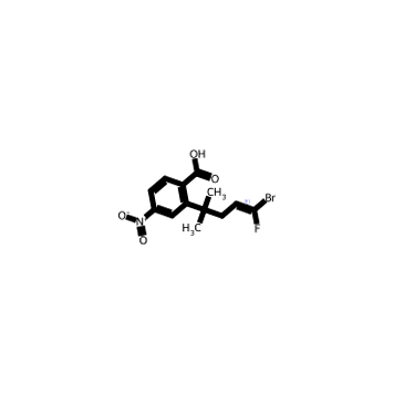 CC(C)(C/C=C(\F)Br)c1cc([N+](=O)[O-])ccc1C(=O)O